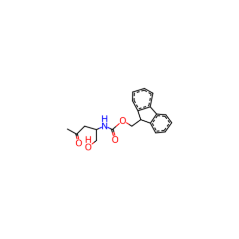 CC(=O)CC(CO)NC(=O)OCC1c2ccccc2-c2ccccc21